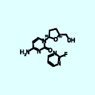 Fc1ncccn1.Nc1ccn([C@H]2CC[C@@H](CO)O2)c(=O)n1